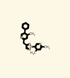 Cc1cc(C)c(-n2ncc(Cc3cc(C)c(-c4ccccc4)cn3)n2)cn1